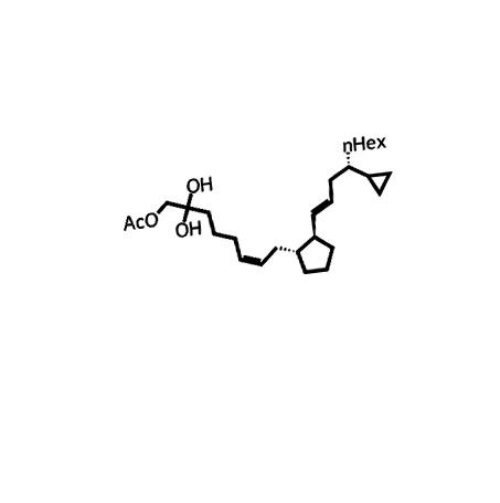 CCCCCC[C@@H](C/C=C/[C@H]1CCC[C@@H]1C/C=C\CCCC(O)(O)COC(C)=O)C1CC1